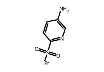 CC(C)S(=O)(=O)c1ccc(N)cn1